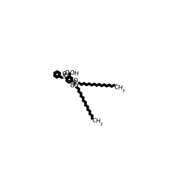 CCCCCCCCCCCCCCCCN(CCCCCCCCCCCCCCCC)S(=O)(=O)c1ccc([S+]([O-])Cc2ccccc2)c(C(=O)O)c1